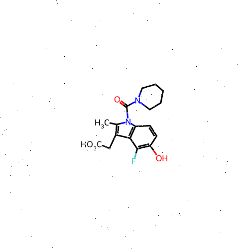 Cc1c(CC(=O)O)c2c(F)c(O)ccc2n1C(=O)N1CCCCC1